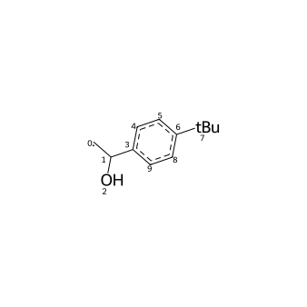 [CH2]C(O)c1ccc(C(C)(C)C)cc1